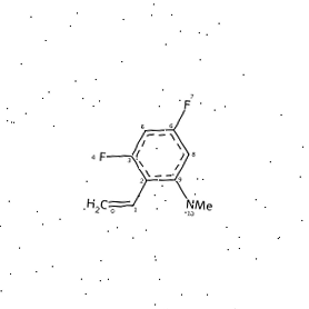 C=Cc1c(F)cc(F)cc1NC